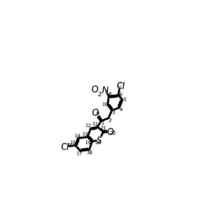 O=C(Cc1ccc(Cl)c([N+](=O)[O-])c1)c1cc2cc(Cl)ccc2sc1=O